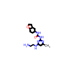 Cc1cc(NCCN)nc(NC(=O)Nc2ccc3occc3c2)n1